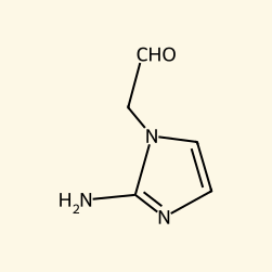 Nc1nccn1CC=O